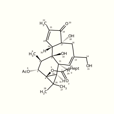 CCCCCCCC(=O)O[C@@]12[C@H](OC(C)=O)[C@@H](C)[C@@]3(O)[C@@H](C=C(CO)C[C@]4(O)C(=O)C(C)=C[C@@H]34)[C@H]1C2(C)C